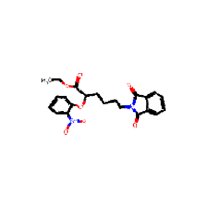 CCOC(=O)C(CCCCN1C(=O)c2ccccc2C1=O)Oc1ccccc1[N+](=O)[O-]